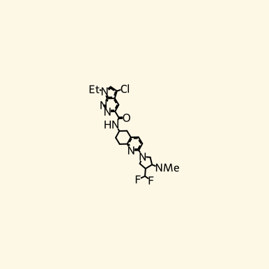 CCn1cc(Cl)c2cc(C(=O)NC3CCc4nc(N5CC(NC)C(C(F)F)C5)ccc4C3)nnc21